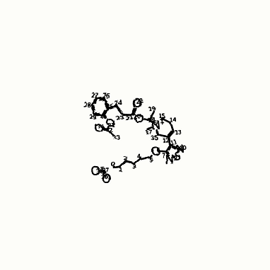 CCCCCCOc1nsnc1C1=CCC[N+](C)(C(C)OC(=O)CCc2ccccc2OC(C)=O)C1.O=C[O-]